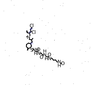 C=C/C(CN(C)CC(C)/C=C1\CCCC(=C)C(SNCC(=O)NCC(=O)NCC(=O)NCCCCNC=O)C1)=C(Cl)\C=C\Cl